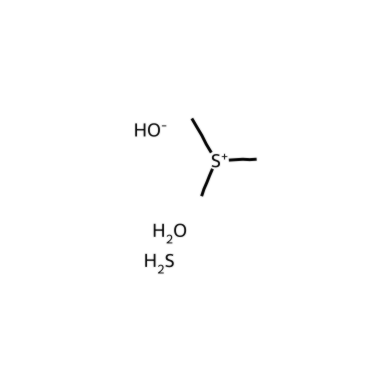 C[S+](C)C.O.S.[OH-]